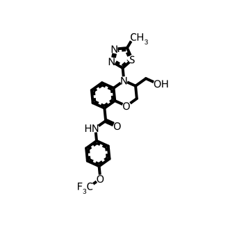 Cc1nnc(N2c3cccc(C(=O)Nc4ccc(OC(F)(F)F)cc4)c3OCC2CO)s1